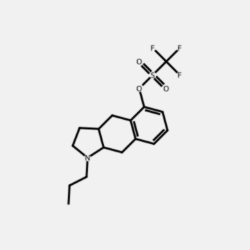 CCCN1CCC2Cc3c(cccc3OS(=O)(=O)C(F)(F)F)CC21